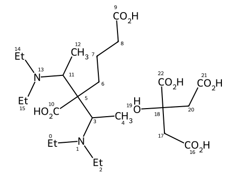 CCN(CC)C(C)C(CCCC(=O)O)(C(=O)O)C(C)N(CC)CC.O=C(O)CC(O)(CC(=O)O)C(=O)O